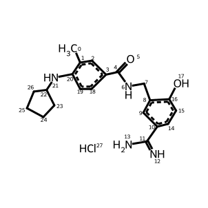 Cc1cc(C(=O)NCc2cc(C(=N)N)ccc2O)ccc1NC1CCCC1.Cl